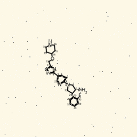 N[C@H]1CN(c2ccc(-c3noc(COC4CCNCC4)n3)cn2)C[C@@H]1c1ccccc1F